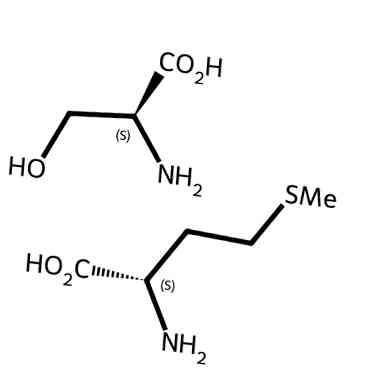 CSCC[C@H](N)C(=O)O.N[C@@H](CO)C(=O)O